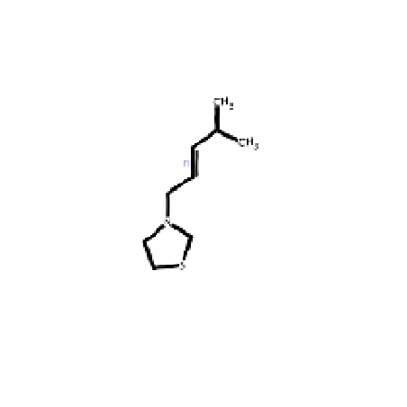 CC(C)/C=C/CN1CCSC1